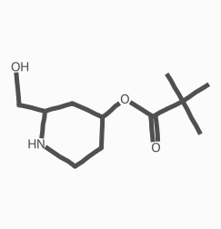 CC(C)(C)C(=O)OC1CCNC(CO)C1